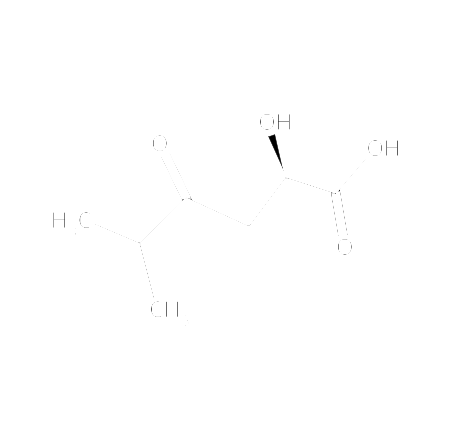 CC(C)C(=O)C[C@@H](O)C(=O)O